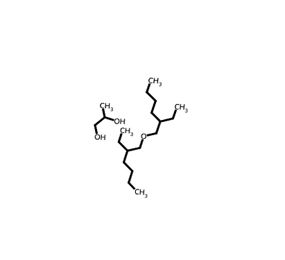 CC(O)CO.CCCCC(CC)COCC(CC)CCCC